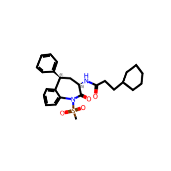 CS(=O)(=O)N1C(=O)[C@@H](NC(=O)CCC2CCCCC2)C[C@H](c2ccccc2)c2ccccc21